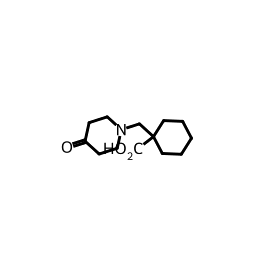 O=C1CCN(CC2(C(=O)O)CCCCC2)CC1